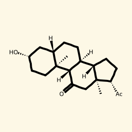 CC(=O)[C@H]1CC[C@H]2[C@@H]3CC[C@H]4C[C@@H](O)CC[C@]4(C)[C@H]3C(=O)C[C@]12C